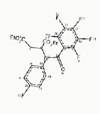 CCOC(=O)CC(C(=O)OCC)N(C(=O)c1c(F)c(F)c(F)c(F)c1F)c1ccc(F)cc1